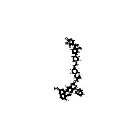 C#Cc1c(F)ccc2cc(O)cc(-c3ncc4c(N5CC6CCC(C5)N6)nc(OCC5(CN6CCC(CCN7CCC(c8ccc9c(C%10CCC(=O)NC%10=O)cn(C)c9c8)CC7)CC6)CC5)nc4c3F)c12